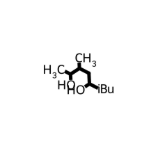 CCC(C)C(O)CC(C)C(C)O